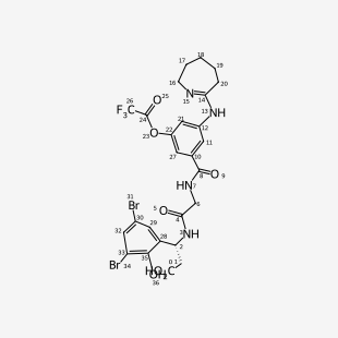 O=C(O)C[C@@H](NC(=O)CNC(=O)c1cc(NC2=NCCCCC2)cc(OC(=O)C(F)(F)F)c1)c1cc(Br)cc(Br)c1O